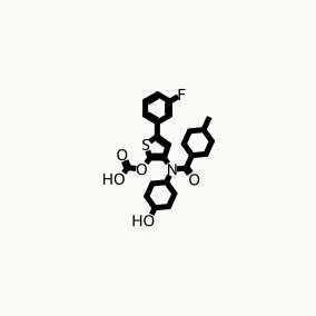 CC1CCC(C(=O)N(c2cc(-c3cccc(F)c3)sc2OC(=O)O)C2CCC(O)CC2)CC1